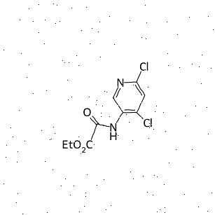 CCOC(=O)C(=O)Nc1cnc(Cl)cc1Cl